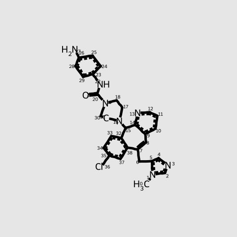 Cn1cncc1CC1=Cc2cccnc2C(N2CCN(C(=O)Nc3ccc(N)cc3)CC2)c2ccc(Cl)cc21